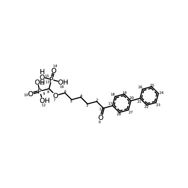 O=C(CCCCCOC(P(=O)(O)O)P(=O)(O)O)c1ccc(-c2ccccc2)cc1